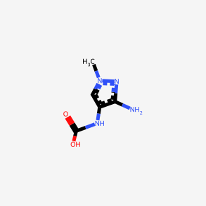 Cn1cc(NC(=O)O)c(N)n1